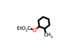 C[CH]OC(=O)OC1CCCCC1C